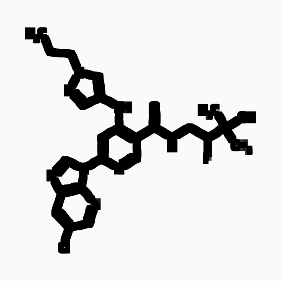 CCCn1cc(Nc2cc(-n3cnc4cc(Cl)cnc43)ncc2C(=O)NCC(F)C(C)(C)O)cn1